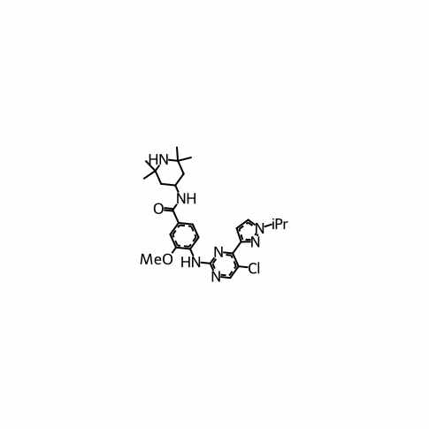 COc1cc(C(=O)NC2CC(C)(C)NC(C)(C)C2)ccc1Nc1ncc(Cl)c(-c2ccn(C(C)C)n2)n1